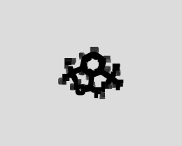 O=C(F)c1c(C(F)(F)F)cccc1C(F)(F)F